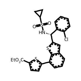 CCOC(=O)c1ccc(-c2cccc3cc([C@H](NS(=O)(=O)C4CC4)c4ccccc4Cl)sc23)s1